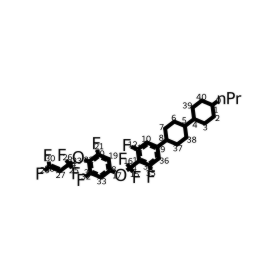 CCCC1CCC(C2CCC(c3cc(F)c(C(F)(F)Oc4cc(F)c(OC(F)(F)C=C(F)F)c(F)c4)c(F)c3)CC2)CC1